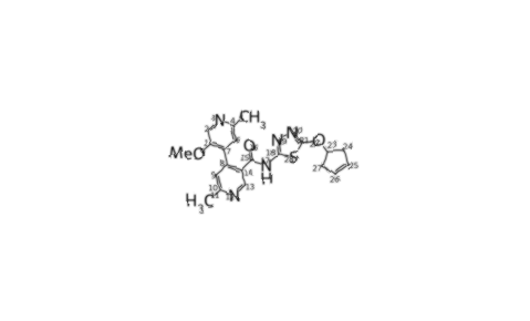 COc1cnc(C)cc1-c1cc(C)ncc1C(=O)Nc1nnc(OC2CC=CC2)s1